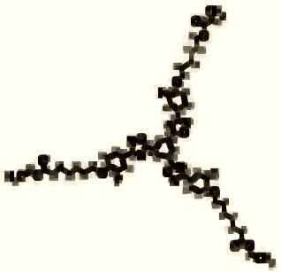 C=COC(=O)CCCCCCOc1ccc(-c2noc(-c3cc(-c4nc(-c5ccc(OCCCCCCOC(=O)C=C)c(F)c5)no4)cc(-c4nc(-c5ccc(OCCCCCCC(=O)OC=C)c(F)c5)no4)c3)n2)cc1F